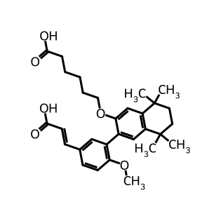 COc1ccc(C=CC(=O)O)cc1-c1cc2c(cc1OCCCCCC(=O)O)C(C)(C)CCC2(C)C